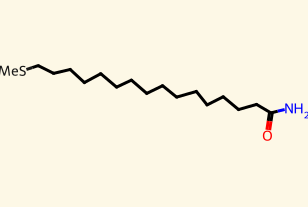 CSCCCCCCCCCCCCCCCC(N)=O